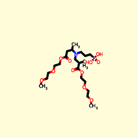 COCCOCCOC(=O)CC(C)N(CCCP(=O)(O)O)CC(C)C(=O)OCCOCCOC